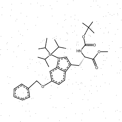 COC(=O)[C@H](Cc1cn([Si](C(C)C)(C(C)C)C(C)C)c2cc(OCc3ccccc3)ccc12)NC(=O)OC(C)(C)C